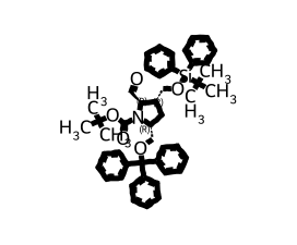 CC(C)(C)OC(=O)N1[C@@H](COC(c2ccccc2)(c2ccccc2)c2ccccc2)C[C@@H](CO[Si](c2ccccc2)(c2ccccc2)C(C)(C)C)[C@@H]1C=O